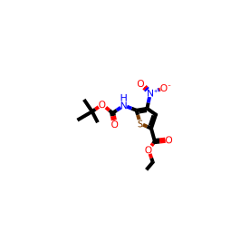 CCOC(=O)c1cc([N+](=O)[O-])c(NC(=O)OC(C)(C)C)s1